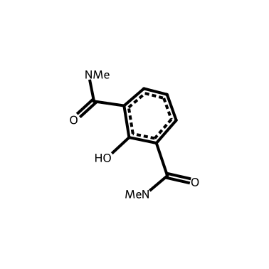 CNC(=O)c1cccc(C(=O)NC)c1O